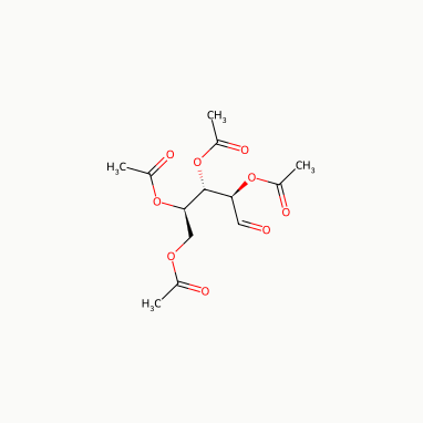 CC(=O)OC[C@@H](OC(C)=O)[C@H](OC(C)=O)[C@H](C=O)OC(C)=O